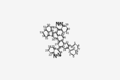 c1cc2c3c(cccc3c1)-c1cc3c(cc1-2)c(-c1cnnc2ccccc12)cc1c2cc4c(c(-c5cnnc6ccccc56)c2ccc31)-c1cccc2cccc-4c12